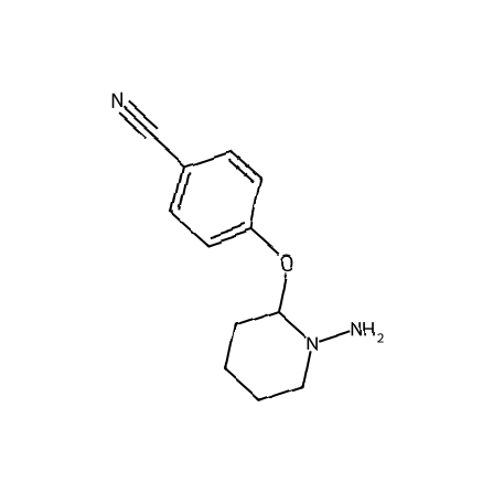 N#Cc1ccc(OC2CCCCN2N)cc1